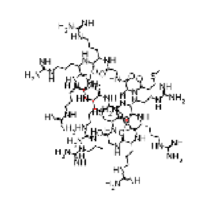 CSC[C@H](C)C(=O)N[C@@H](C)C(=O)NCC(=O)N[C@H](CCCNC(=N)N)C(=O)N[C@H](CCCNC(=N)N)C(=O)N[C@H](CCCNC(=N)N)C(=O)N[C@H](CCCNC(=N)N)C(=O)N[C@H](CCCNC(=N)N)C(=O)N[C@H](CCCNC(=N)N)C(=O)N[C@H](CCCNC(=N)N)C(=O)N[C@H](CCCNC(=N)N)C(=O)N[C@H](CCCNC(=N)N)C(=O)NC(CS)C(N)=O